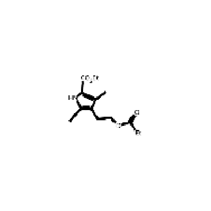 CCOC(=O)c1[nH]c(C)c(CCOC(=O)CC)c1C